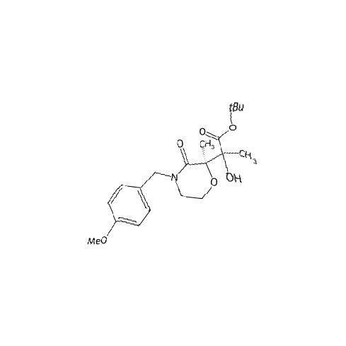 COc1ccc(CN2CCO[C@](C)(C(C)(O)C(=O)OC(C)(C)C)C2=O)cc1